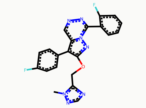 Cn1ncnc1COc1nn2c(-c3ccccc3F)nncc2c1-c1ccc(F)cc1